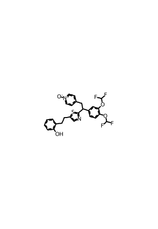 [O-][n+]1ccc(CC(c2ccc(OC(F)F)c(OC(F)F)c2)c2ncc(CCc3ccccc3O)s2)cc1